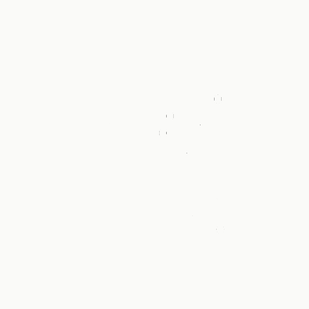 CC(C)COC12CCC3OC3C1CC21OCCO1